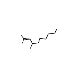 CCCCCCC(C)C=C(C)C